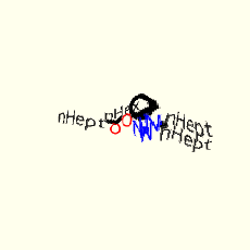 CCCCCCCC(CCCCCC)C(=O)COC1CCCCCc2c1nnn2C(CCCCCCC)CCCCCCC